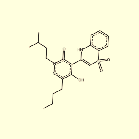 CCCCc1nn(CCC(C)C)c(=O)c(C2=CS(=O)(=O)c3ccccc3N2)c1O